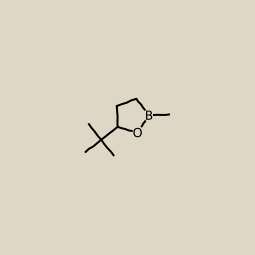 CB1CCC(C(C)(C)C)O1